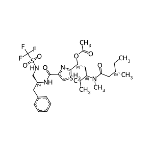 CC[C@H](C)CC(=O)N(C)[C@H](C[C@@H](OC(C)=O)c1nc(C(=O)N[C@H](CNS(=O)(=O)C(F)(F)F)Cc2ccccc2)cs1)C(C)C